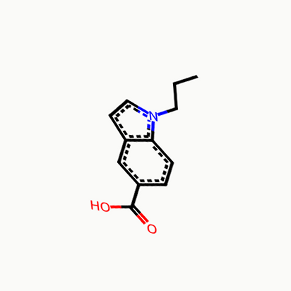 CCCn1ccc2cc(C(=O)O)ccc21